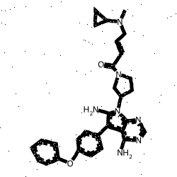 CN(CC=CC(=O)N1CCC(n2c(N)c(-c3ccc(Oc4ccccc4)cc3)c3c(N)ncnc32)C1)C1CC1